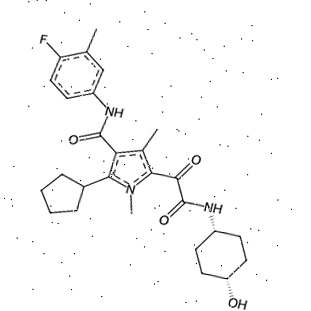 Cc1cc(NC(=O)c2c(C)c(C(=O)C(=O)N[C@H]3CC[C@@H](O)CC3)n(C)c2C2CCCC2)ccc1F